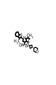 Cc1c(-c2cc(C(=O)N=O)c3c(O[C@H]4C[C@@H](C5CCOCC5)C4)ccc(C)c3n2)sc2ccccc12